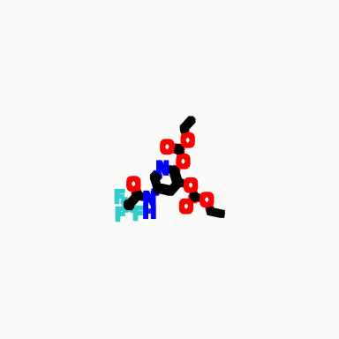 CCOC(=O)Oc1cc(NC(=O)C(F)(F)F)cnc1OC(=O)OCC